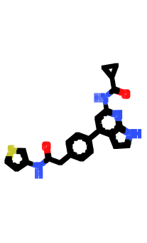 O=C(Cc1ccc(-c2cc(NC(=O)C3CC3)nc3[nH]ccc23)cc1)Nc1ccsc1